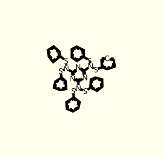 c1ccc(SN(Sc2ccccc2)c2nc(N(Sc3ccccc3)Sc3ccccc3)nc(N(Sc3ccccc3)Sc3ccccc3)n2)cc1